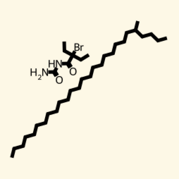 CCC(Br)(CC)C(=O)NC(N)=O.CCCCCCCCCCCCCCCCCCCCCCC(C)CCCC